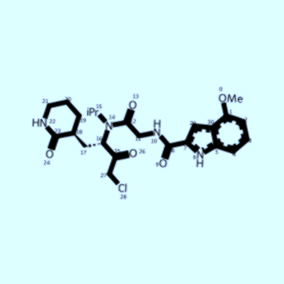 COc1cccc2[nH]c(C(=O)NCC(=O)N(C(C)C)[C@@H](C[C@@H]3CCCNC3=O)C(=O)CCl)cc12